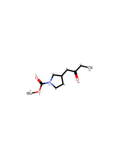 CC(C)(C)OC(=O)N1CCC(CC(=O)CC#N)C1